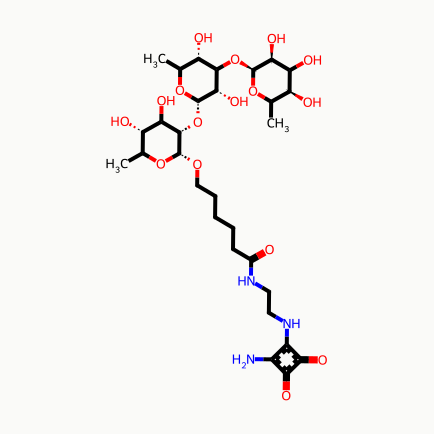 CC1O[C@@H](OC2[C@@H](O)C(C)O[C@@H](O[C@H]3C(O)[C@@H](O)C(C)O[C@H]3OCCCCCC(=O)NCCNc3c(N)c(=O)c3=O)[C@H]2O)[C@@H](O)C(O)[C@H]1O